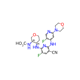 N#Cc1cc(F)c(N[C@@H]2CCOC[C@@H]2NC(=O)O)nc1Nc1cc(N2CCOCC2)ncc1F